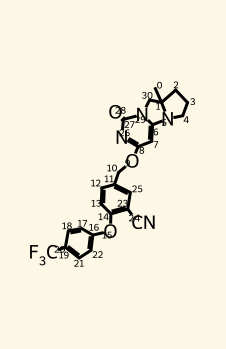 CC12CCCN1c1cc(OCc3ccc(Oc4ccc(C(F)(F)F)cc4)c(C#N)c3)nc(=O)n1C2